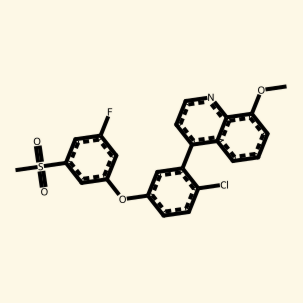 COc1cccc2c(-c3cc(Oc4cc(F)cc(S(C)(=O)=O)c4)ccc3Cl)ccnc12